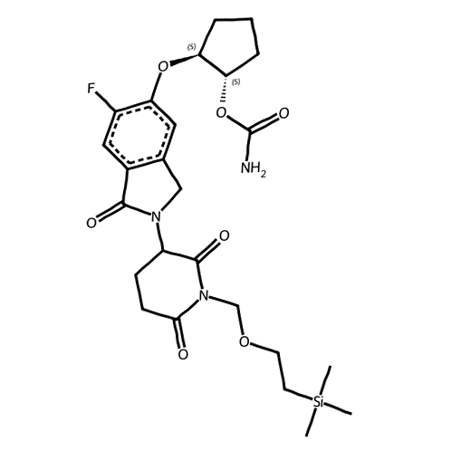 C[Si](C)(C)CCOCN1C(=O)CCC(N2Cc3cc(O[C@H]4CCC[C@@H]4OC(N)=O)c(F)cc3C2=O)C1=O